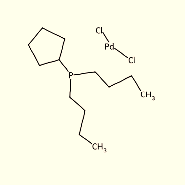 CCCCP(CCCC)C1CCCC1.[Cl][Pd][Cl]